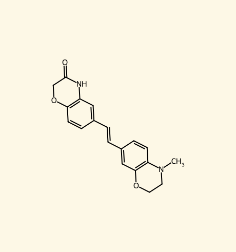 CN1CCOc2cc(C=Cc3ccc4c(c3)NC(=O)CO4)ccc21